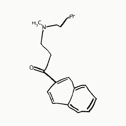 CC(C)CN(C)CCC(=O)c1ccc2ccccc2c1